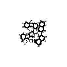 CC1(C)c2ccccc2-c2nc(-c3cccc4sc5ccccc5c34)c(-n3c4cc5ccccc5cc4c4ccc5ccccc5c43)nc21